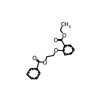 CCOC(=O)c1ccccc1OCCOC(=O)c1ccccc1